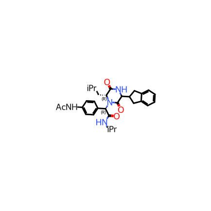 CC(=O)Nc1ccc([C@H](C(=O)NC(C)C)N2C(=O)C(C3Cc4ccccc4C3)NC(=O)[C@H]2CC(C)C)cc1